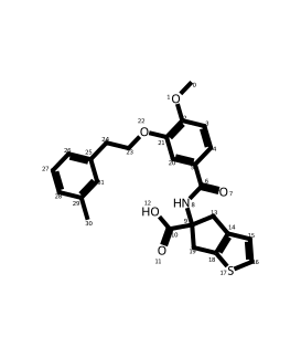 COc1ccc(C(=O)NC2(C(=O)O)Cc3ccsc3C2)cc1OCCc1cccc(C)c1